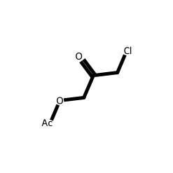 CC(=O)OCC(=O)CCl